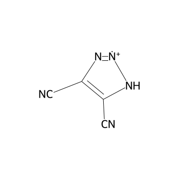 N#CC1=C(C#N)N[N+]=N1